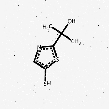 CC(C)(O)c1ncc(S)s1